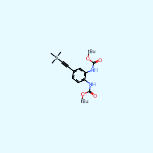 CC(C)(C)OC(=O)Nc1ccc(C#C[Si](C)(C)C)cc1NC(=O)OC(C)(C)C